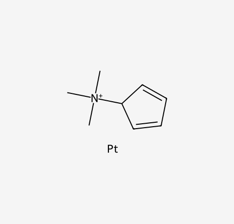 C[N+](C)(C)C1C=CC=C1.[Pt]